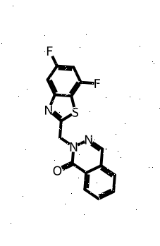 O=c1c2ccccc2[c]nn1Cc1nc2cc(F)cc(F)c2s1